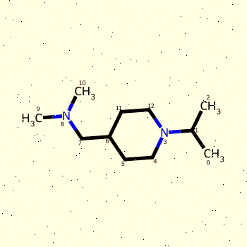 CC(C)N1CCC(CN(C)C)CC1